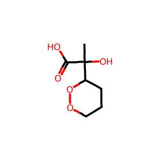 CC(O)(C(=O)O)C1CCCOO1